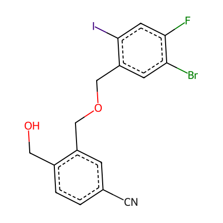 N#Cc1ccc(CO)c(COCc2cc(Br)c(F)cc2I)c1